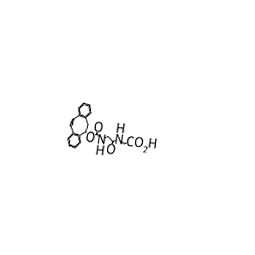 O=C(O)CNC(=O)CNC(=O)OC1Cc2ccccc2C#Cc2ccccc21